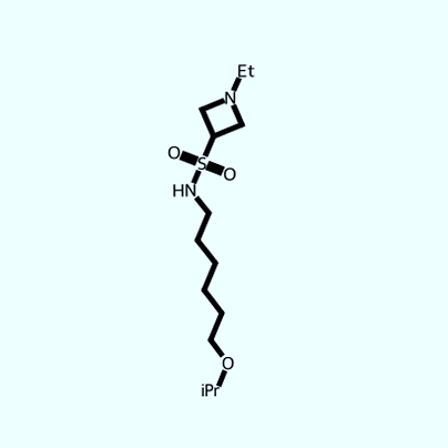 CCN1CC(S(=O)(=O)NCCCCCCOC(C)C)C1